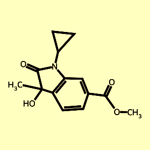 COC(=O)c1ccc2c(c1)N(C1CC1)C(=O)C2(C)O